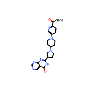 CNC(=O)c1ccc(N2CCC(N3CCC(c4nc5ncncc5c(=O)[nH]4)C3)CC2)cn1